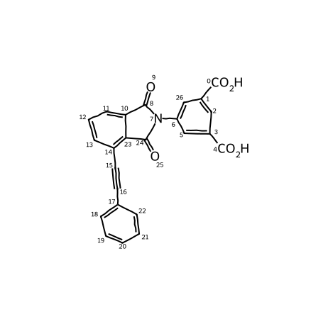 O=C(O)c1cc(C(=O)O)cc(N2C(=O)c3cccc(C#Cc4ccccc4)c3C2=O)c1